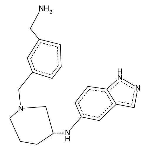 NCc1cccc(CN2CCC[C@@H](Nc3ccc4[nH]ncc4c3)C2)c1